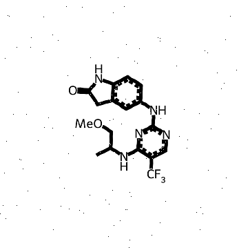 COCC(C)Nc1nc(Nc2ccc3c(c2)CC(=O)N3)ncc1C(F)(F)F